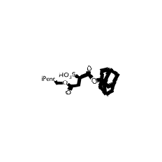 CCCC(C)COC(=O)CC(C(=O)OC12CC3CC(CC(C3)C1)C2)S(=O)(=O)O